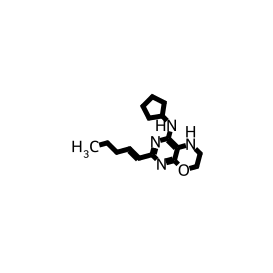 CCC/C=C/c1nc(NC2CCCC2)c2c(n1)OCCN2